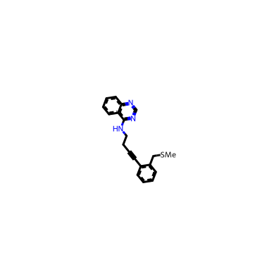 CSCc1ccccc1C#CCCNc1ncnc2ccccc12